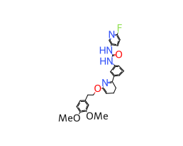 COc1ccc(CCOC2=CCCC(c3cccc(NC(=O)Nc4ccc(F)nc4)c3)=N2)cc1OC